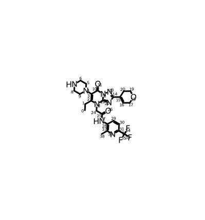 CCc1c(N2CCNCC2)c(=O)n2nc(C3=CCOCC3)nc2n1CC(=O)Nc1ccc(C(F)(F)F)nc1C